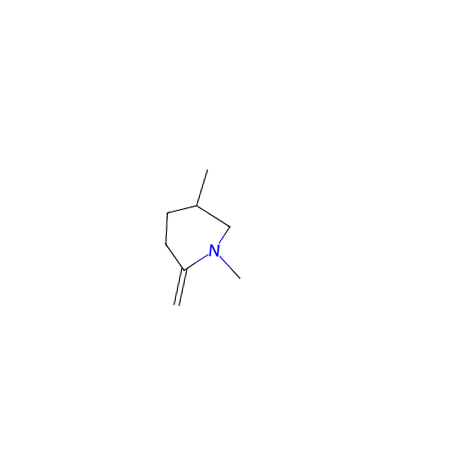 C=C1CCC(C)CN1C